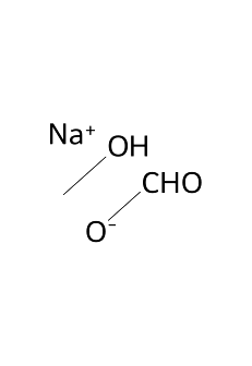 CO.O=C[O-].[Na+]